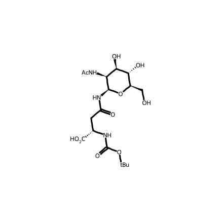 CC(=O)N[C@H]1[C@@H](O)[C@H](O)[C@@H](CO)O[C@H]1NC(=O)C[C@H](NC(=O)OC(C)(C)C)C(=O)O